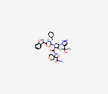 CC(C)(O)c1cnnn1[C@H]1C[C@@H](C(=O)NC2(C(=O)C(N)=O)CCOCC2)N(C(=O)[C@@H](CC2CCCCC2)NC(=O)c2noc3ccccc23)C1